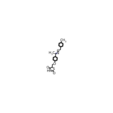 C/C(=N\OCc1ccc(C)cc1)c1ccc(OCC2SC(=O)NC2=O)cc1